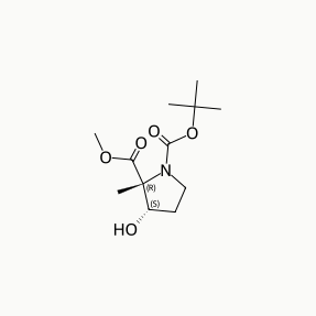 COC(=O)[C@@]1(C)[C@@H](O)CCN1C(=O)OC(C)(C)C